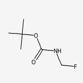 CC(C)(C)OC(=O)NCF